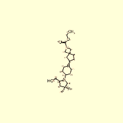 CCOC(=O)N1CC2(CCC(N3CCC(N4CC(F)(F)CC4CO)CC3)C2)C1